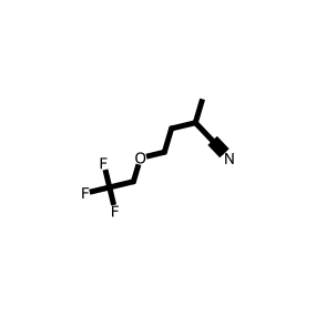 CC(C#N)CCOCC(F)(F)F